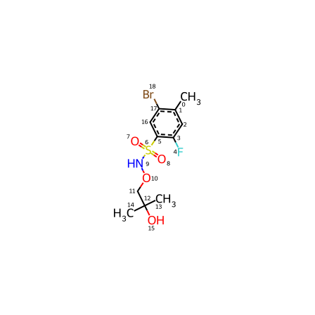 Cc1cc(F)c(S(=O)(=O)NOCC(C)(C)O)cc1Br